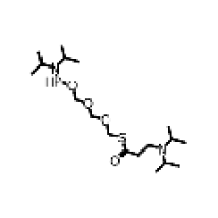 CC(C)N(CCC(=O)SCOCOCOPN(C(C)C)C(C)C)C(C)C